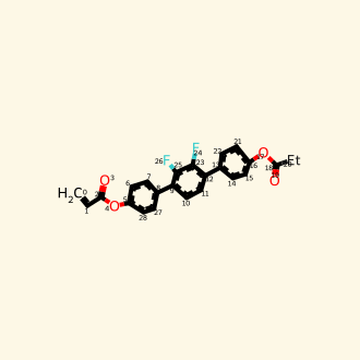 C=CC(=O)Oc1ccc(-c2ccc(-c3ccc(OC(=O)CC)cc3)c(F)c2F)cc1